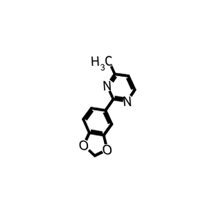 Cc1ccnc(-c2ccc3c(c2)OCO3)n1